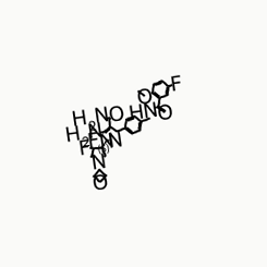 COc1ccc(F)cc1C(=O)NCc1ccc(-c2nn([C@H]3CN(C4COC4)CC3(F)F)c(N)c2C(N)=O)cc1